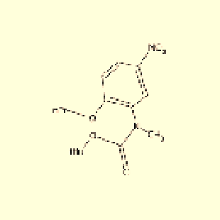 CCCOc1ccc([N+](=O)[O-])cc1N(C)C(=O)OC(C)(C)C